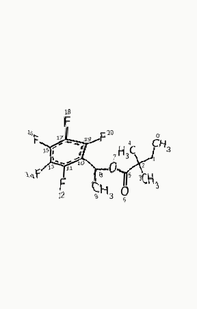 CCC(C)(C)C(=O)OC(C)c1c(F)c(F)c(F)c(F)c1F